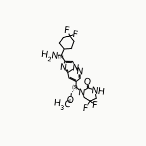 COC[C@H](c1cnn2cc([C@@H](N)C3CCC(F)(F)CC3)nc2c1)N1CC(F)(F)CNC1=O